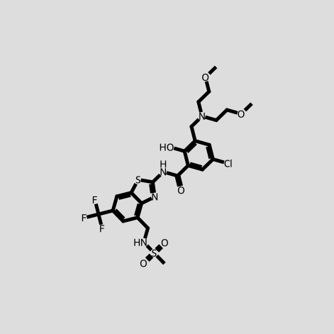 COCCN(CCOC)Cc1cc(Cl)cc(C(=O)Nc2nc3c(CNS(C)(=O)=O)cc(C(F)(F)F)cc3s2)c1O